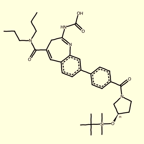 CCCN(CCC)C(=O)C1=Cc2ccc(-c3ccc(C(=O)N4CC[C@@H](O[Si](C)(C)C(C)(C)C)C4)cc3)cc2N=C(NC(=O)O)C1